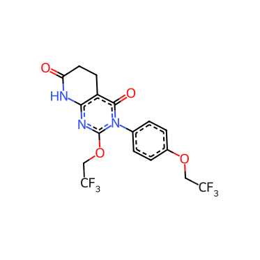 O=C1CCc2c(nc(OCC(F)(F)F)n(-c3ccc(OCC(F)(F)F)cc3)c2=O)N1